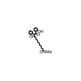 CCC(=C(CCCCCCCCCCC(=O)NC)c1ccccc1O)c1ccccc1O